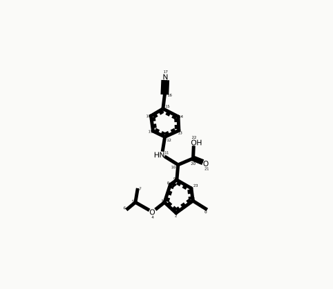 Cc1cc(OC(C)C)cc(C(Nc2ccc(C#N)cc2)C(=O)O)c1